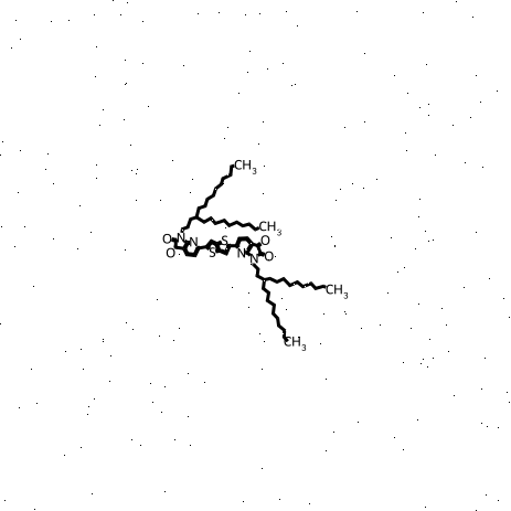 CCCCCCCCCCC(CCCCCCCCCC)CCCN1C(=O)C(=O)c2ccc(-c3cc4sc(-c5ccc6c(n5)N(CCCC(CCCCCCCCCC)CCCCCCCCCC)C(=O)C6=O)cc4s3)nc21